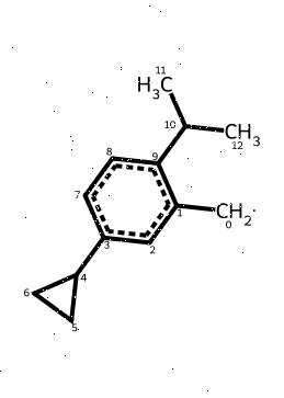 [CH2]c1cc(C2CC2)ccc1C(C)C